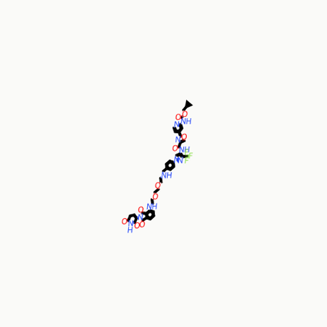 O=C1CCC(N2C(=O)c3cccc(NCCOCCOCCNCc4ccc(-n5cc(NC(=O)c6coc(-c7ccnc(NC(=O)OCC8CC8)c7)n6)c(C(F)(F)F)n5)cc4)c3C2=O)C(=O)N1